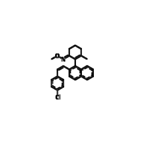 CON=C1CCCC(C)=C1c1c(C=Cc2ccc(Cl)cc2)ccc2ccccc12